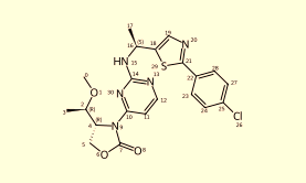 CO[C@H](C)[C@H]1COC(=O)N1c1ccnc(N[C@@H](C)c2cnc(-c3ccc(Cl)cc3)s2)n1